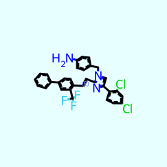 Nc1ccc(Cn2cc(-c3ccc(Cl)cc3Cl)nc2/C=C/c2ccc(-c3ccccc3)cc2C(F)(F)F)cc1